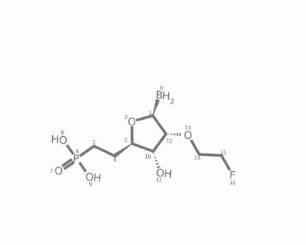 B[C@@H]1O[C@H](CCP(=O)(O)O)[C@@H](O)[C@H]1OCCF